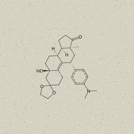 CN(C)c1ccc([C@H]2C[C@]3(C)C(=O)CC[C@@H]3[C@@H]3CC[C@@]4(O)CC5(CCC4=C32)OCCO5)cc1